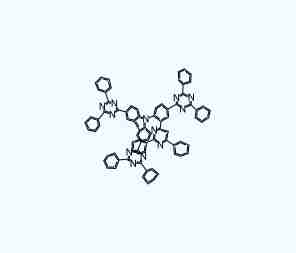 c1ccc(-c2cc(-c3cc(-c4nc(-c5ccccc5)nc(-c5ccccc5)n4)ccc3-n3c4ccc(-c5nc(-c6ccccc6)nc(-c6ccccc6)n5)cc4c4cc(-c5nc(-c6ccccc6)nc(-c6ccccc6)n5)ccc43)nc(-c3ccccc3)n2)cc1